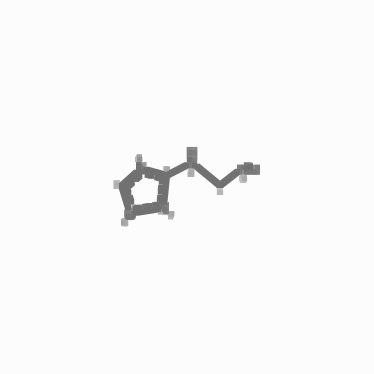 CCCCCNc1ncon1